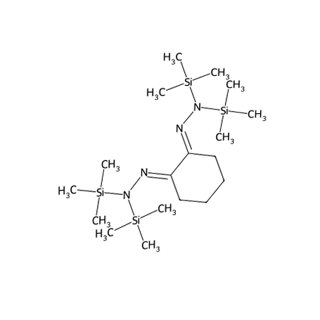 C[Si](C)(C)N(N=C1CCCCC1=NN([Si](C)(C)C)[Si](C)(C)C)[Si](C)(C)C